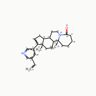 C=Cc1cncc(C2=CCC3C4CCN5C(=O)CCCC[C@]5(C)C4CC[C@]23C)c1